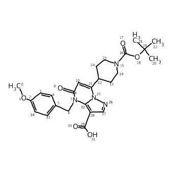 COc1ccc(Cn2c(=O)cc(C3CCN(C(=O)OC(C)(C)C)CC3)n3ncc(C(=O)O)c23)cc1